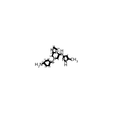 Cc1cc(NC2=CN(Sc3ccc(N)cc3)CC3=NC=C[N+]23)n[nH]1